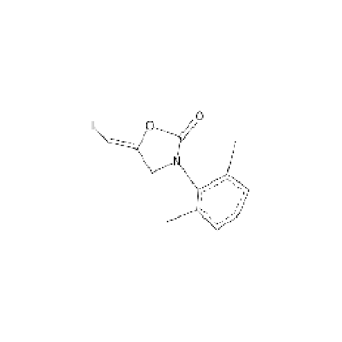 Cc1cccc(C)c1N1C/C(=C/I)OC1=O